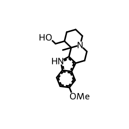 COc1ccc2[nH]c3c(c2c1)CCN1CCCC(CO)C31C